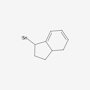 [Sn][CH]1CCC2CC=CC=C12